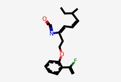 C=C(F)c1ccccc1OCC/C(=C\C=C/C(C)CC)N=C=O